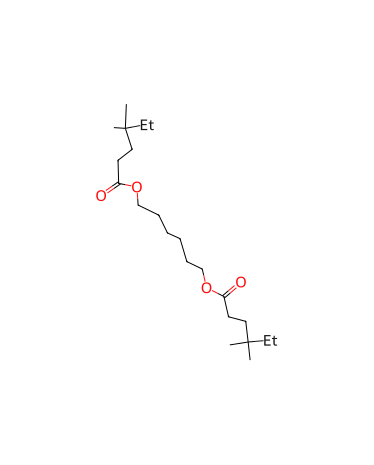 CCC(C)(C)CCC(=O)OCCCCCCOC(=O)CCC(C)(C)CC